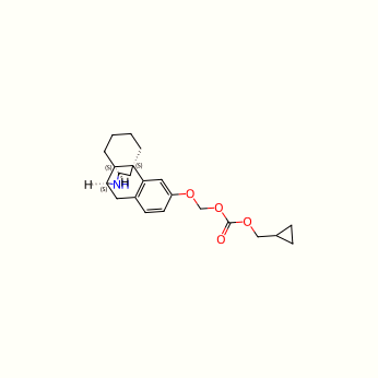 O=C(OCOc1ccc2c(c1)[C@]13CCCC[C@@H]1[C@H](C2)NCC3)OCC1CC1